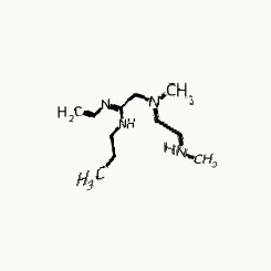 C=C/N=C(/CN(C)CCNC)NCCC